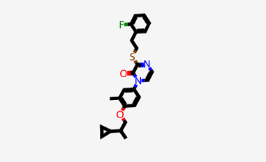 Cc1cc(-n2ccnc(SCCc3ccccc3F)c2=O)ccc1OCC(C)C1CC1